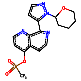 O=S(=O)(Oc1ccnc2c(-c3ccnn3C3CCCCO3)nccc12)C(F)(F)F